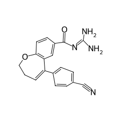 N#Cc1ccc(C2=CCCOc3ccc(C(=O)N=C(N)N)cc32)cc1